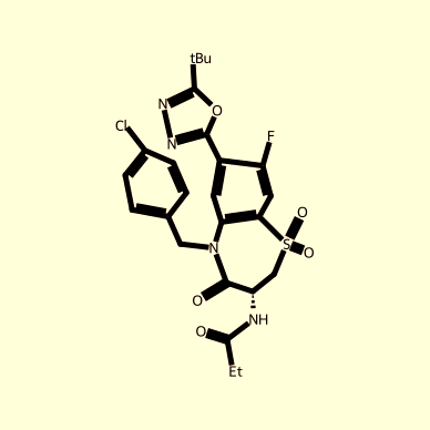 CCC(=O)N[C@H]1CS(=O)(=O)c2cc(F)c(-c3nnc(C(C)(C)C)o3)cc2N(Cc2ccc(Cl)cc2)C1=O